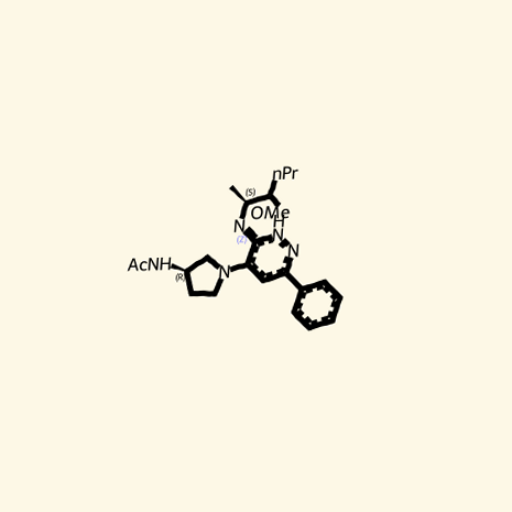 CCCC(OC)[C@H](C)/N=c1\[nH]nc(-c2ccccc2)cc1N1CC[C@@H](NC(C)=O)C1